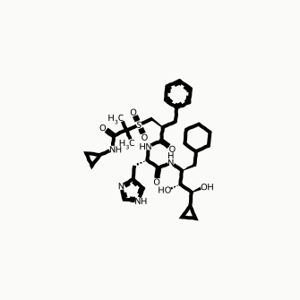 CC(C)(C(=O)NC1CC1)S(=O)(=O)C[C@@H](Cc1ccccc1)C(=O)N[C@@H](Cc1c[nH]cn1)C(=O)N[C@@H](CC1CCCCC1)[C@@H](O)[C@@H](O)C1CC1